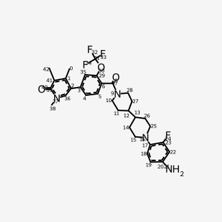 Cc1c(-c2ccc(C(=O)N3CCC(C4CCN(c5ccc(N)cc5F)CC4)CC3)c(OC(F)(F)F)c2)cn(C)c(=O)c1C